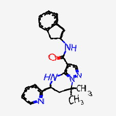 CC1(C)CC(c2ccccn2)Nc2c(C(=O)NC3Cc4ccccc4C3)cnn21